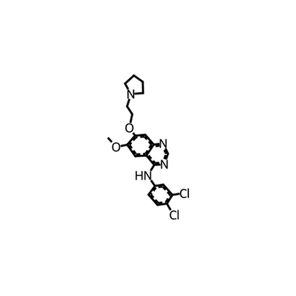 COc1cc2c(Nc3ccc(Cl)c(Cl)c3)ncnc2cc1OCCN1CCCC1